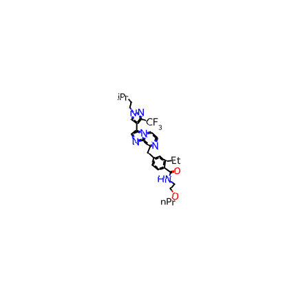 CCCOCCNC(=O)c1ccc(Cc2nccn3c(-c4cn(CCC(C)C)nc4C(F)(F)F)cnc23)cc1CC